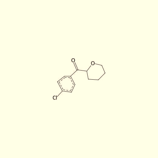 O=C(c1ccc(Cl)cc1)C1CCCCO1